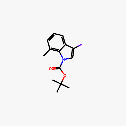 Cc1cccc2c(I)cn(C(=O)OC(C)(C)C)c12